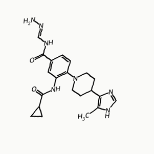 Cc1[nH]cnc1C1CCN(c2ccc(C(=O)NC=NN)cc2NC(=O)C2CC2)CC1